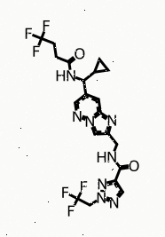 O=C(CCC(F)(F)F)NC(c1cnn2cc(CNC(=O)c3cnn(CC(F)(F)F)n3)nc2c1)C1CC1